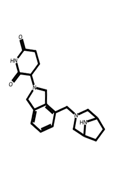 O=C1CCC(N2Cc3cccc(CN4CC5CCC(C4)N5)c3C2)C(=O)N1